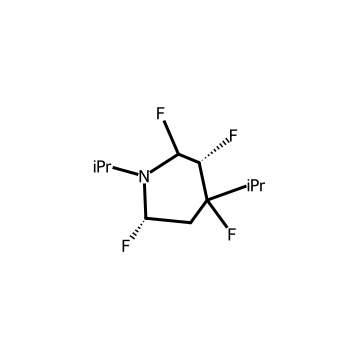 CC(C)N1C(F)[C@H](F)C(F)(C(C)C)C[C@@H]1F